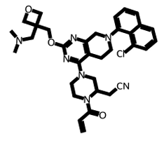 C=CC(=O)N1CCN(c2nc(OCC3(CN(C)C)COC3)nc3c2CCN(c2cccc4cccc(Cl)c24)C3)CC1CC#N